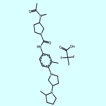 CC(=O)N(C)C1CCN(C(=O)Nc2ccc(N3CCC(N4CCCC4C)C3)c(C)c2)C1.O=C(O)C(F)(F)F